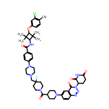 CC1(C)C(NC(=O)c2ccc(N3CCN(CC4(F)CCN(C(=O)C5CCN(c6ccc7nnn(C8CCC(=O)NC8=O)c(=O)c7c6)CC5)CC4)CC3)cc2)C(C)(C)C1Oc1ccc(C#N)c(Cl)c1